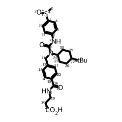 C[S+]([O-])c1ccc(NC(=O)N(Cc2ccc(C(=O)NCCC(=O)O)cc2)C2CCC(C(C)(C)C)CC2)cc1